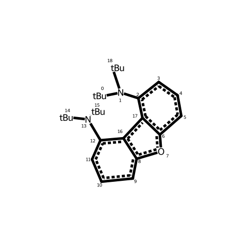 CC(C)(C)N(c1cccc2oc3cccc(N(C(C)(C)C)C(C)(C)C)c3c12)C(C)(C)C